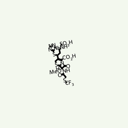 CO[C@@]1(NC(=O)CSC(F)(F)F)C(=O)N2C(C(=O)O)=C(C(CCNS(=O)(=O)O)Sc3nnn[nH]3)CS[C@H]21